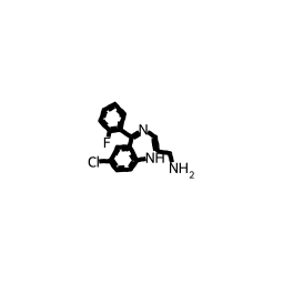 NCC1=CN=C(c2ccccc2F)c2cc(Cl)ccc2N1